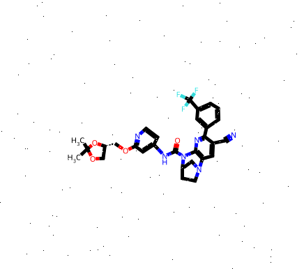 CC1(C)OC[C@@H](COc2cc(NC(=O)N3c4nc(-c5cccc(C(F)(F)F)c5)c(C#N)cc4N4CCC3C4)ccn2)O1